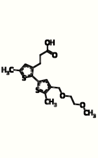 COCCOCc1cc(-c2sc(C)cc2CCC(=O)O)sc1C